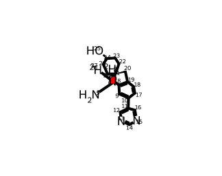 [2H]C1([2H])OC(N)=NC12c1cc(-c3cncnc3)ccc1C[C@@]21CC[C@H](O)[C@@H](C)C1